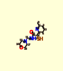 Cc1cccc(C(S)C(=O)NCN2CCOCC2)n1